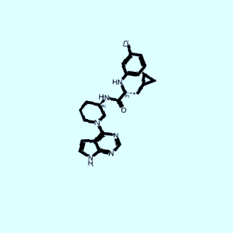 O=C(N[C@@H]1CCCN(c2ncnc3[nH]ccc23)C1)[C@@H](CC1CC1)Nc1cccc(Cl)c1